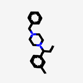 [CH2]CC(c1cccc([CH2])c1)N1CCN(Cc2ccccc2)CC1